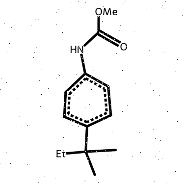 CCC(C)(C)c1ccc(NC(=O)OC)cc1